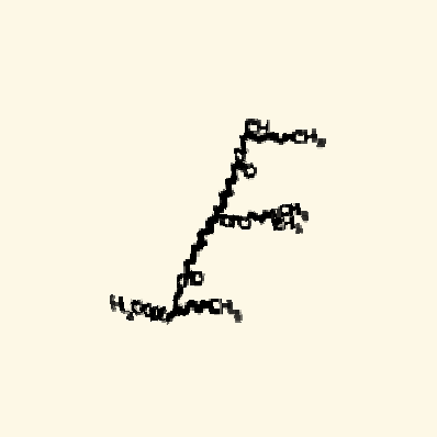 C=C=C=C=CC(CCCCC)CCOC(=O)CCCCCCCC(CCCCCCCC(=O)OCCC(C)CCCCC)OCOCCCN(C)C